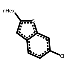 [CH2]CCCCCc1cc2ccc(Cl)cc2s1